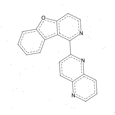 c1cnc2ccc(-c3nccc4oc5ccccc5c34)nc2c1